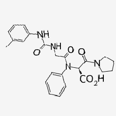 Cc1cccc(NC(=O)NCC(=O)N(c2ccccc2)[C@H](C(=O)O)C(=O)N2CCCC2)c1